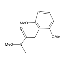 COc1cccc(OC)c1CC(=O)N(C)OC